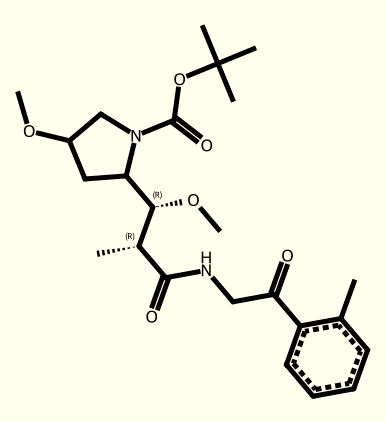 COC1CC([C@H](OC)[C@@H](C)C(=O)NCC(=O)c2ccccc2C)N(C(=O)OC(C)(C)C)C1